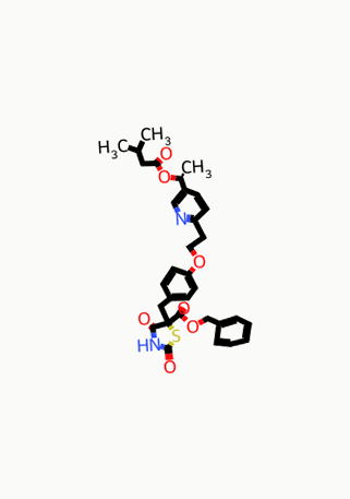 CC(C)CC(=O)O[C@H](C)c1ccc(CCOc2ccc(CC3(C(=O)OCc4ccccc4)SC(=O)NC3=O)cc2)nc1